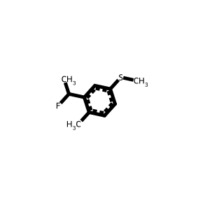 CSc1ccc(C)c(C(C)F)c1